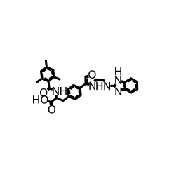 Cc1cc(C)c(C(=O)NC(Cc2ccc(-c3coc(CNc4nc5ccccc5[nH]4)n3)cc2)C(=O)O)c(C)c1